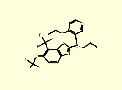 CCC[C@H](c1nc2ccc(OC(F)(F)F)c(C(F)(F)F)c2s1)c1cnccc1OCC